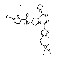 CN1CCc2cc(C(=O)N3CC(NC(=O)c4ccc(Cl)s4)CC3C(=O)N3CCC3)sc2CC1